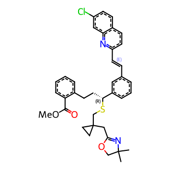 COC(=O)c1ccccc1CC[C@@H](SCC1(CC2=NC(C)(C)CO2)CC1)c1cccc(/C=C/c2ccc3ccc(Cl)cc3n2)c1